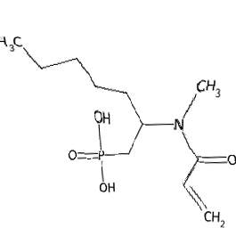 C=CC(=O)N(C)C(CCCCC)CP(=O)(O)O